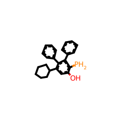 Oc1cc(C2CCCCC2)c(-c2ccccc2)c(-c2ccccc2)c1P